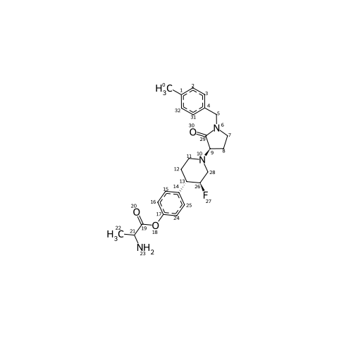 Cc1ccc(CN2CC[C@@H](N3CC[C@@H](c4ccc(OC(=O)C(C)N)cc4)[C@H](F)C3)C2=O)cc1